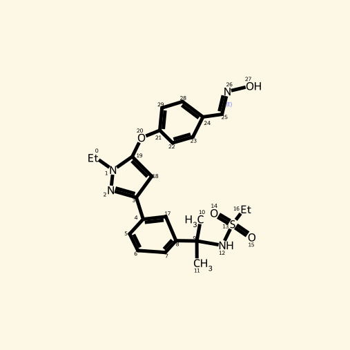 CCn1nc(-c2cccc(C(C)(C)NS(=O)(=O)CC)c2)cc1Oc1ccc(/C=N/O)cc1